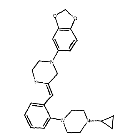 C(=C1CN(c2ccc3c(c2)OCO3)CCS1)c1ccccc1N1CCN(C2CC2)CC1